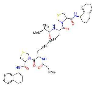 CNCC(=O)N[C@@H](CC#CC#CC[C@H](NC(=O)[C@H](C)NC)C(=O)N1CSC[C@H]1C(=O)N[C@@H]1CCCc2ccccc21)C(=O)N1CSC[C@H]1C(=O)N[C@@H]1CCCc2ccccc21